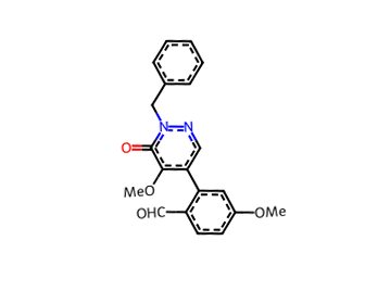 COc1ccc(C=O)c(-c2cnn(Cc3ccccc3)c(=O)c2OC)c1